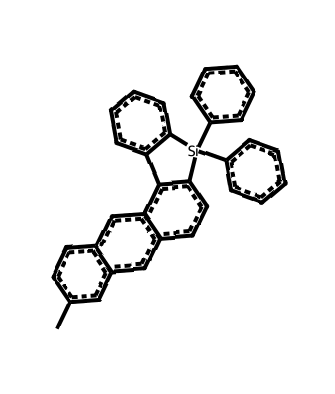 Cc1ccc2cc3c4c(ccc3cc2c1)[Si](c1ccccc1)(c1ccccc1)c1ccccc1-4